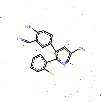 Cc1cnc(-c2ccccc2F)c(-c2ccc(N)c(C=N)c2)c1